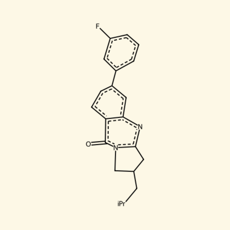 CC(C)CC1Cc2nc3cc(-c4cccc(F)c4)ccc3c(=O)n2C1